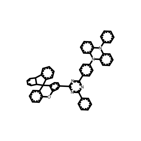 C1=CC2c3ccccc3C3(c4ccccc4Oc4cc(-c5nc(-c6ccccc6)nc(-c6ccc(N7c8ccccc8N(c8ccccc8)c8ccccc87)cc6)n5)ccc43)C2C=C1